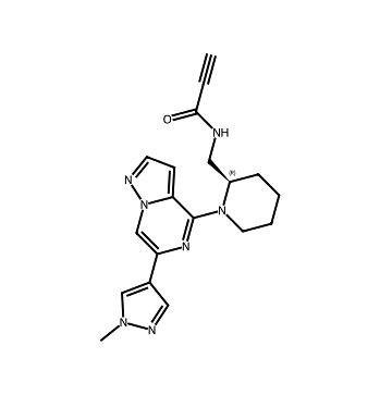 C#CC(=O)NC[C@H]1CCCCN1c1nc(-c2cnn(C)c2)cn2nccc12